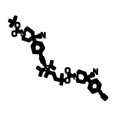 C#Cc1ccc(C2(C#N)CCN(C(=O)OC(C)(C)CCC(C)[Si](C#Cc3ccc(C4(C#N)CCN(C(=O)OC(C)(C)C)CC4)cc3)(C(C)C)C(C)C)CC2)cc1